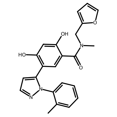 Cc1ccccc1-n1nccc1-c1cc(C(=O)N(C)Cc2ccco2)c(O)cc1O